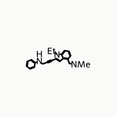 CCn1c(C#CCNc2ccccc2)cc2c(CNC)cccc21